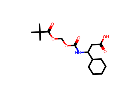 CC(C)(C)C(=O)OCOC(=O)NC(CC(=O)O)C1CCCCC1